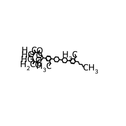 C=C(CO)C(=O)OCC(COC(=O)C(=C)CO)c1ccc(C2CCC(C3CCC(c4ccc(CCCCC)c(CC)c4)CC3)CC2)c(CC)c1